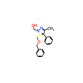 CC1=NN(CO)S(COCc2ccccc2)=C1c1ccccc1